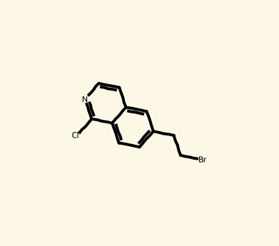 Clc1nccc2cc(CCBr)ccc12